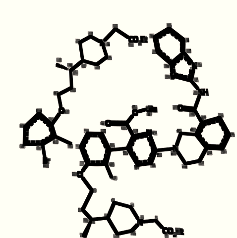 CCOC(=O)CN1CCC([C@@H](C)CCOc2cccc(-c3ccc(N4CCc5cccc(C(=O)Nc6nc7ccccc7s6)c5C4)nc3C(=O)OC(C)(C)C)c2C)CC1.CCOC(=O)CN1CCC([C@@H](C)CCOc2cccc(Br)c2C)CC1